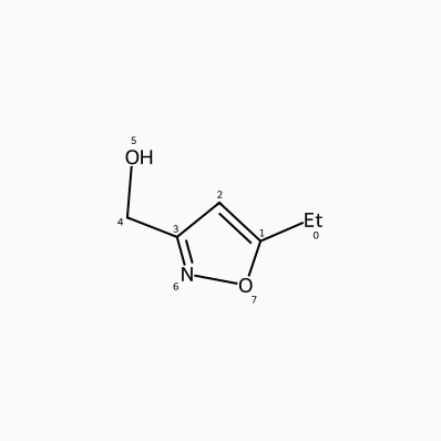 CCc1cc(CO)no1